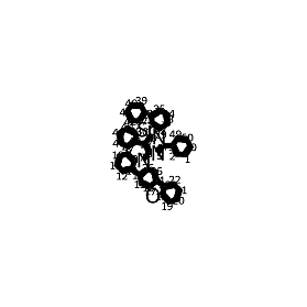 c1ccc(-c2nc(-n3c4ccccc4c4cc5oc6ccccc6c5cc43)c3c(n2)[Si](c2ccccc2)(c2ccccc2)c2ccccc2-3)cc1